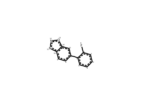 Fc1ccc[c]c1-c1ccc2nnoc2c1